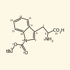 CC(C)(C)OC(=O)n1cc(CC(N)C(=O)O)c2ccccc21